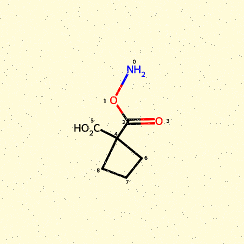 NOC(=O)C1(C(=O)O)CCC1